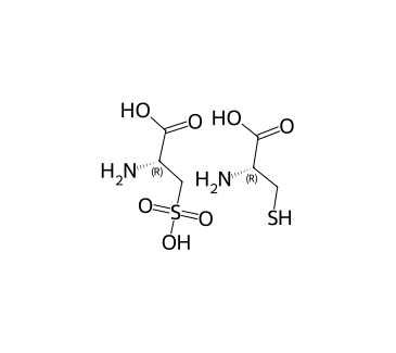 N[C@@H](CS(=O)(=O)O)C(=O)O.N[C@@H](CS)C(=O)O